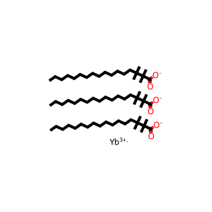 CCCCCCCCCCCCCCC(C)(C)C(C)(C)C(=O)[O-].CCCCCCCCCCCCCCC(C)(C)C(C)(C)C(=O)[O-].CCCCCCCCCCCCCCC(C)(C)C(C)(C)C(=O)[O-].[Yb+3]